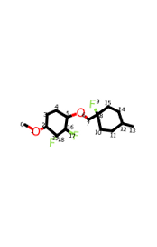 COC1CCC(OCC2(F)CCC(C)CC2)C(F)C1F